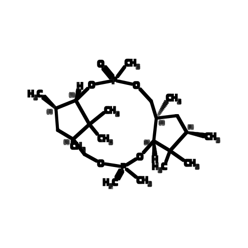 C=P1(C)OC[C@@]2(C)C[C@@H](C)[C@H](OP(C)(=O)OC[C@@]3(C)C[C@@H](C)C(C)(C)[C@@H]3O1)C2(C)C